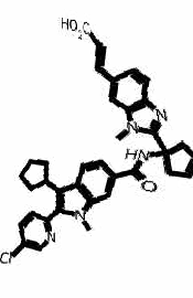 Cn1c(C2(NC(=O)c3ccc4c(C5CCCC5)c(-c5ccc(Cl)cn5)n(C)c4c3)CC=CC2)nc2ccc(/C=C/C(=O)O)cc21